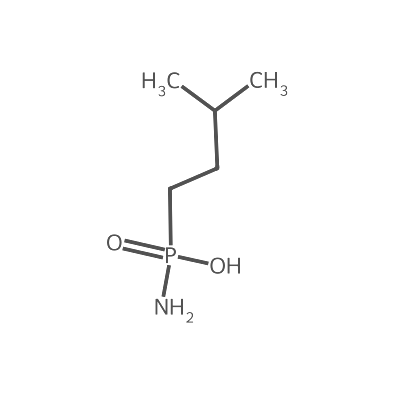 CC(C)CCP(N)(=O)O